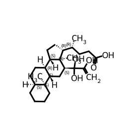 C=C(O)C(O)(O)[C@H]1C[C@H]2[C@@H](CC[C@@H]3CCCC[C@@]32C)[C@@H]2CC[C@H]([C@H](C)CCC(=O)O)[C@@]12C